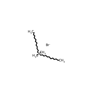 CCCCCCCCCCCCC[N+](C)(C)CCCCCCCCCCCC.[Br-]